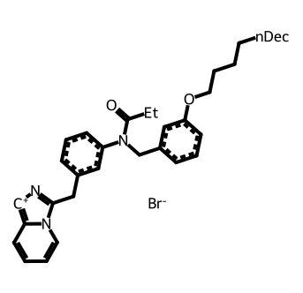 CCCCCCCCCCCCCCOc1cccc(CN(C(=O)CC)c2cccc(CC3=N[C+]=C4C=CC=CN43)c2)c1.[Br-]